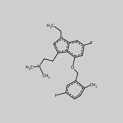 CCn1cc(CCN(C)C)c2c(OCc3cc(F)ccc3C)cc(F)cc21